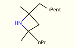 CCCCCCC1(C)CC(C)(CCC)N1